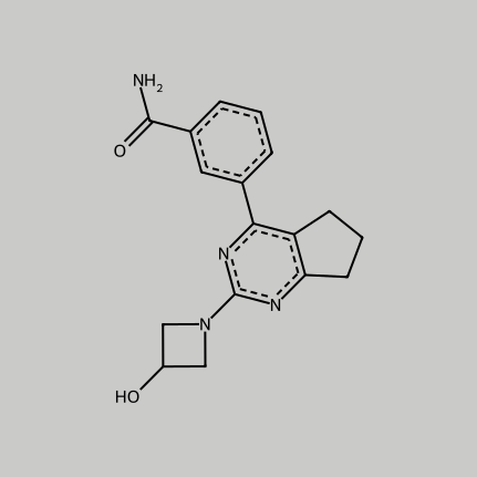 NC(=O)c1cccc(-c2nc(N3CC(O)C3)nc3c2CCC3)c1